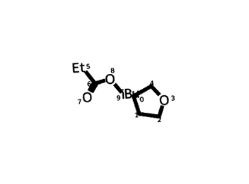 C1CCOC1.CCC(=O)OC(C)CC